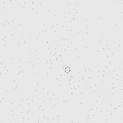 CCCC[C@H]1CC[C@H](C2CCC(COc3ccc(OC(F)(F)F)cc3)CC2)CC1